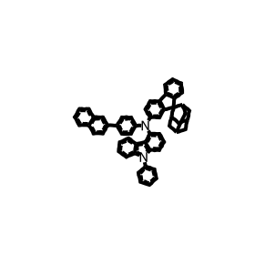 c1ccc(-n2c3ccccc3c3c(N(c4ccc(-c5ccc6ccccc6c5)cc4)c4ccc5c(c4)C4(c6ccccc6-5)C5CC6CC(C5)CC4C6)cccc32)cc1